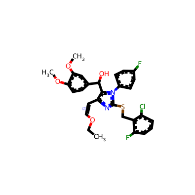 CCO/C=C\c1nc(SCc2c(F)cccc2Cl)n(-c2ccc(F)cc2)c1C(O)c1ccc(OC)c(OC)c1